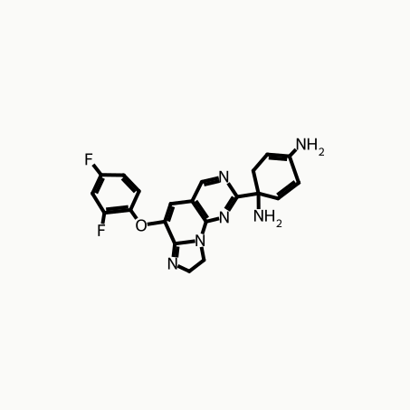 NC1=CCC(N)(c2ncc3c(n2)N2CCN=C2C(Oc2ccc(F)cc2F)=C3)C=C1